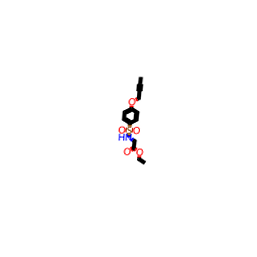 CC#CCOc1ccc(S(=O)(=O)NCC(=O)OCC)cc1